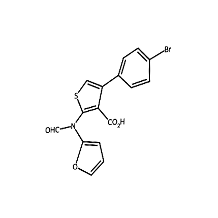 O=CN(c1ccco1)c1scc(-c2ccc(Br)cc2)c1C(=O)O